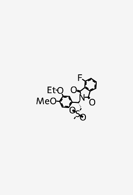 CCOc1cc([C@@H](CS(C)(=O)=O)N2C(=O)c3cccc(F)c3C2=O)ccc1OC